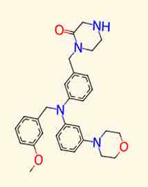 COc1cccc(CN(c2cccc(CN3CCNCC3=O)c2)c2cccc(N3CCOCC3)c2)c1